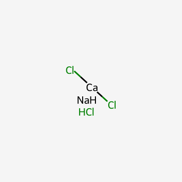 Cl.[Cl][Ca][Cl].[NaH]